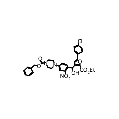 CCOC(=O)c1oc(-c2ccc(Cl)cc2)cc1C(O)c1ccc(N2CCN(C(=O)OCc3ccccc3)CC2)cc1[N+](=O)[O-]